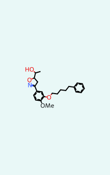 COc1ccc(C2=NOC(C(C)O)C2)cc1OCCCCCc1ccccc1